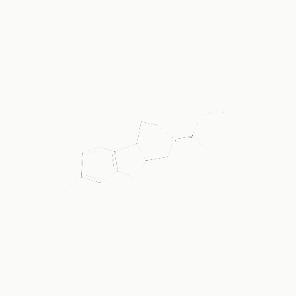 Cc1ccc2c(c1)OC1CN(C(=O)OC(C)(C)C)CCC21